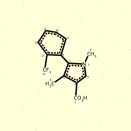 Cc1c(C(=O)O)cn(C)c1-c1ccccc1C(F)(F)F